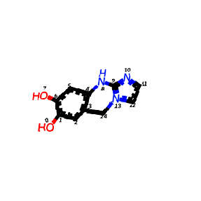 Oc1cc2c(cc1O)Nc1nccn1C2